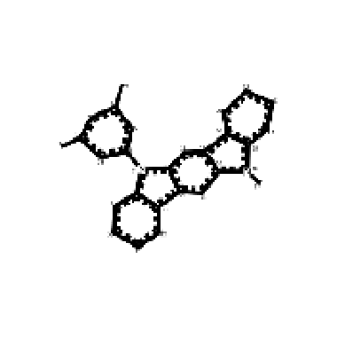 Cc1cc(C)cc(-n2c3ccccc3c3cc4c(cc32)c2ccccc2n4C)c1